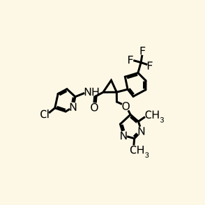 Cc1ncc(OCC2(c3cccc(C(F)(F)F)c3)CC2C(=O)Nc2ccc(Cl)cn2)c(C)n1